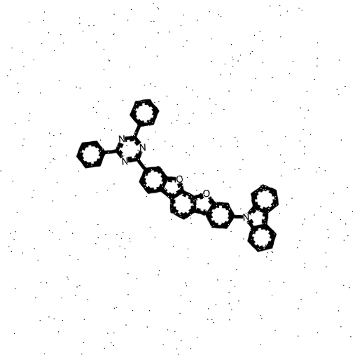 c1ccc(-c2nc(-c3ccccc3)nc(-c3ccc4c(c3)oc3c4ccc4c5ccc(-n6c7ccccc7c7ccccc76)cc5oc43)n2)cc1